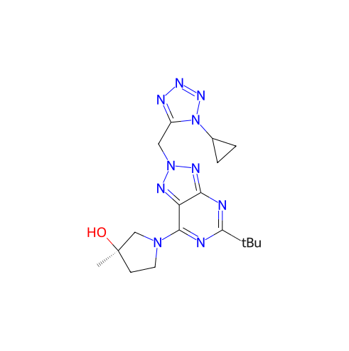 CC(C)(C)c1nc(N2CC[C@@](C)(O)C2)c2nn(Cc3nnnn3C3CC3)nc2n1